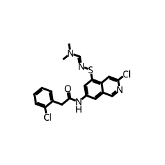 CN(C)/C=N/Sc1cc(NC(=O)Cc2ccccc2Cl)cc2cnc(Cl)cc12